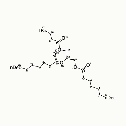 CCCCCCCCCCCCCCCC(=O)OC[C@H](COC(=O)CCC(C)(C)C)OC(=O)CCCCCCCCCCCCCCC